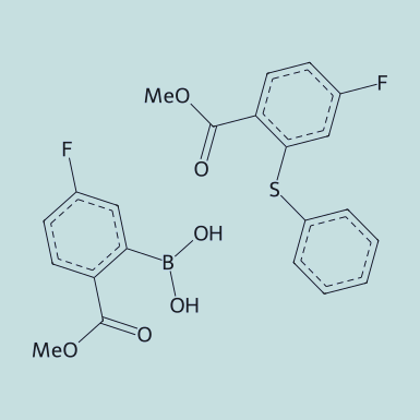 COC(=O)c1ccc(F)cc1B(O)O.COC(=O)c1ccc(F)cc1Sc1ccccc1